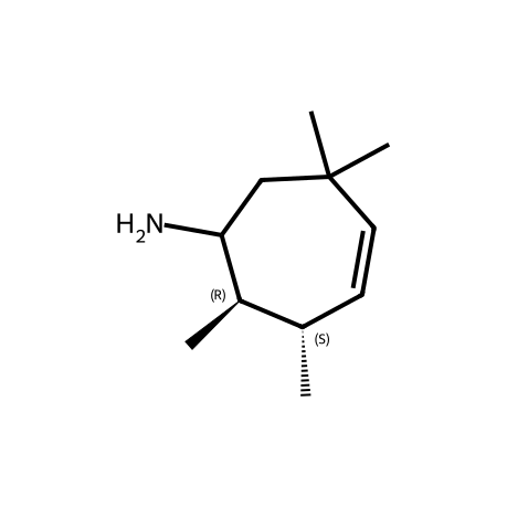 C[C@H]1C=CC(C)(C)CC(N)[C@@H]1C